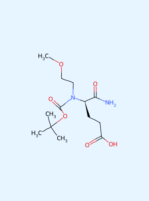 COCCN(C(=O)OC(C)(C)C)[C@H](CCC(=O)O)C(N)=O